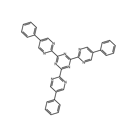 c1ccc(-c2cnc(-c3nc(-c4ncc(-c5ccccc5)cn4)nc(-c4ncc(-c5ccccc5)cn4)n3)nc2)cc1